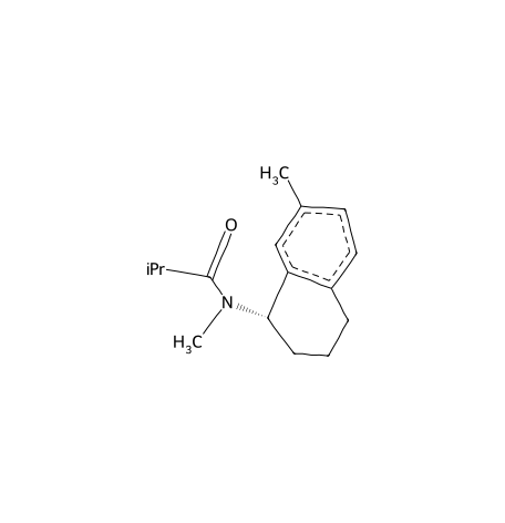 Cc1ccc2c(c1)[C@@H](N(C)C(=O)C(C)C)CCC2